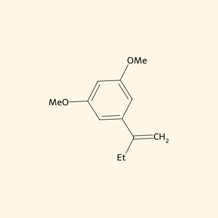 C=C(CC)c1cc(OC)cc(OC)c1